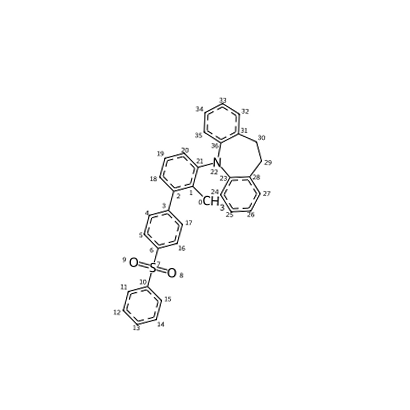 Cc1c(-c2ccc(S(=O)(=O)c3ccccc3)cc2)cccc1N1c2ccccc2CCc2ccccc21